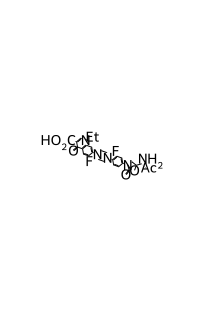 CCn1cc(C(=O)O)c(=O)c2cc(F)c(N3CCN(c4ccc(N5CC([C@H](N)C(C)=O)OC5=O)cc4F)CC3)cc21